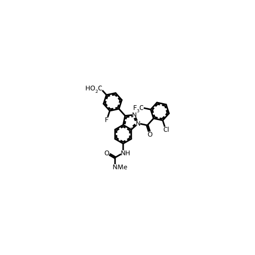 CNC(=O)Nc1ccc2c(-c3ccc(C(=O)O)cc3F)nn(C(=O)c3c(Cl)cccc3C(F)(F)F)c2c1